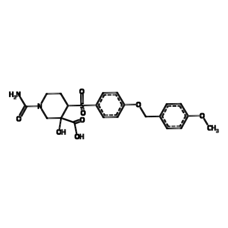 COc1ccc(COc2ccc(S(=O)(=O)C3CCN(C(N)=O)CC3(O)C(=O)O)cc2)cc1